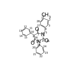 Cc1ccc(CN2C(=O)C(c3ccccc3)C(=O)N(c3ccccc3)C2=O)cc1